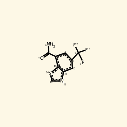 NC(=O)c1cc(C(F)(F)F)cc2ncsc12